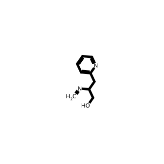 C=NC(CO)Cc1ccccn1